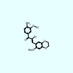 CCOc1cc(C(=O)/C(=C/c2cc3c(cc2OC)OCCO3)CC)ccc1N